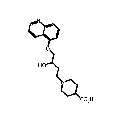 O=C(O)C1CCN(CCC(O)COc2cccc3ncccc23)CC1